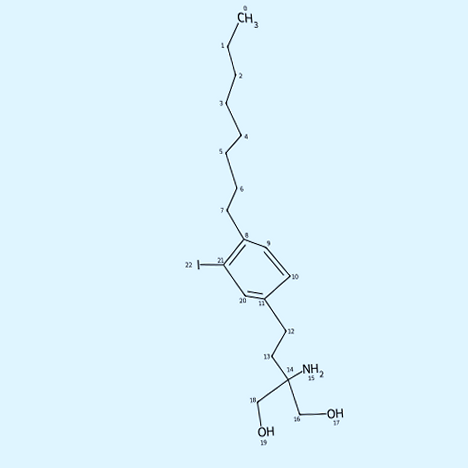 CCCCCCCCc1ccc(CCC(N)(CO)CO)cc1I